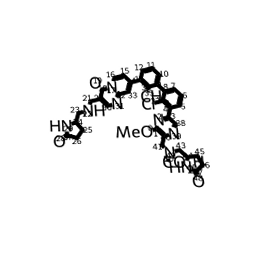 COc1nc(-c2cccc(-c3cccc(-c4ccn5c(=O)c(CNCC6CCC(=O)N6)cnc5c4)c3C)c2Cl)cnc1CN(CC1CCC(=O)N1)C(=O)O